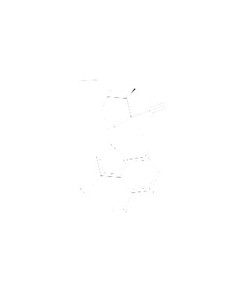 C#C[C@]1(O)[C@H](O)[C@@H](CO)O[C@H]1n1cc(C#N)c2c(N)ncnc21